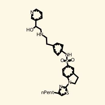 CCCCCc1csc(N2CCc3cc(S(=O)(=O)Nc4ccc(CCNCC(O)c5cccnc5)cc4)ccc32)n1